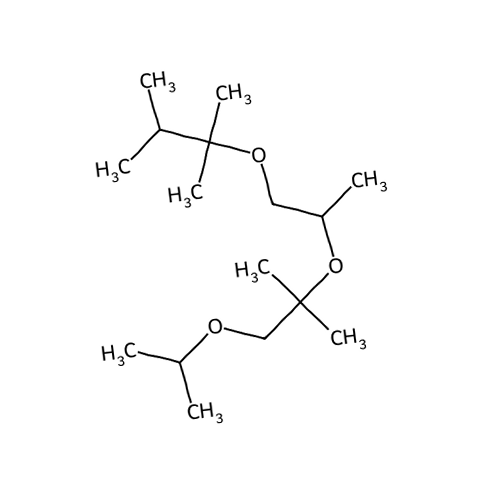 CC(C)OCC(C)(C)OC(C)COC(C)(C)C(C)C